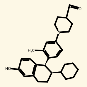 Cc1cc(N2CCC(C=O)CC2)ccc1[C@@H]1c2ccc(O)cc2CC[C@@H]1C1CCCCC1